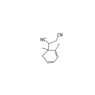 CC1=CC=CCC1(C)C(C#N)CC#N